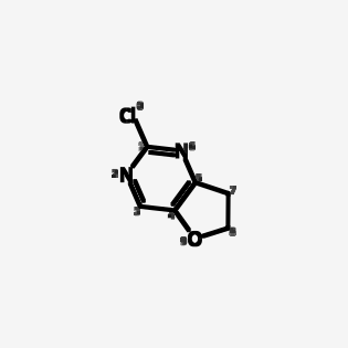 Clc1ncc2c(n1)CCO2